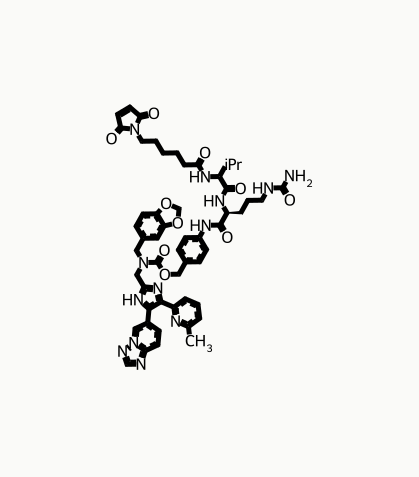 Cc1cccc(-c2nc(CN(Cc3ccc4c(c3)OCO4)C(=O)OCc3ccc(NC(=O)[C@H](CCCNC(N)=O)NC(=O)C(NC(=O)CCCCCN4C(=O)C=CC4=O)C(C)C)cc3)[nH]c2-c2ccc3ncnn3c2)n1